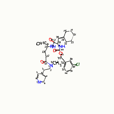 CN(CCc1ccncc1)C(=O)CCC(C=O)NC(=O)C(CC1CCCCC1)NC(=O)OCc1cccc(Cl)c1